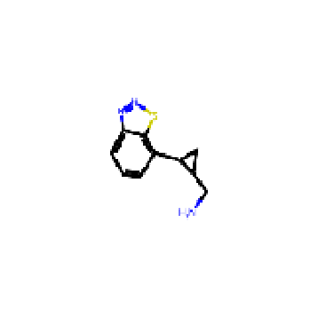 NCC1CC1c1cccc2nnsc12